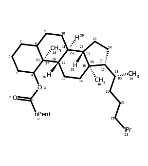 CCCCCC(=O)OC1CCCC2CC[C@@H]3[C@H](CC[C@]4(C)[C@@H]([C@H](C)CCCC(C)C)CC[C@@H]34)[C@]21C